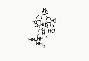 COc1ccc(-c2cnoc2-c2cc(OC)c(OC)c(OC)c2)cc1NC(=O)C(N)CCCNC(=N)N.Cl